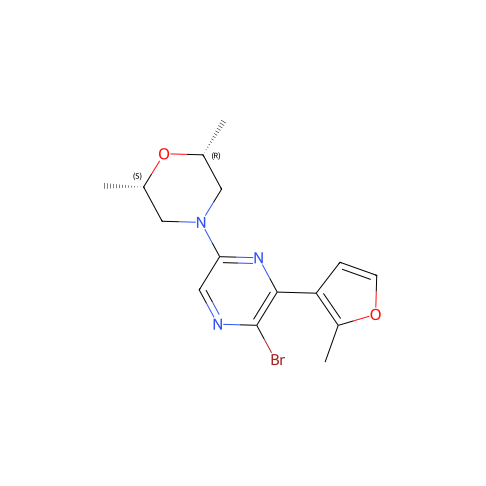 Cc1occc1-c1nc(N2C[C@@H](C)O[C@@H](C)C2)cnc1Br